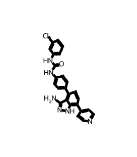 Nc1n[nH]c2c(-c3ccncc3)ccc(-c3ccc(NC(=O)Nc4cccc(Cl)c4)cc3)c12